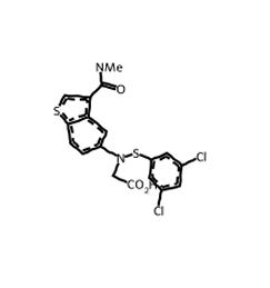 CNC(=O)c1csc2ccc(N(CC(=O)O)Sc3cc(Cl)cc(Cl)c3)cc12